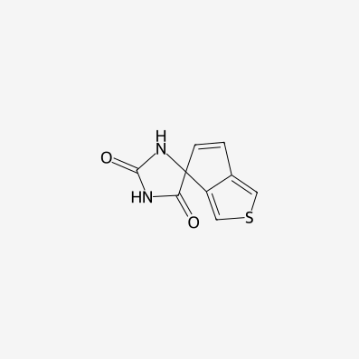 O=C1NC(=O)C2(C=Cc3cscc32)N1